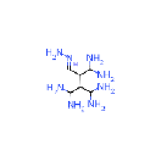 N/N=C/C(C(N)N)C(C(N)N)C(N)N